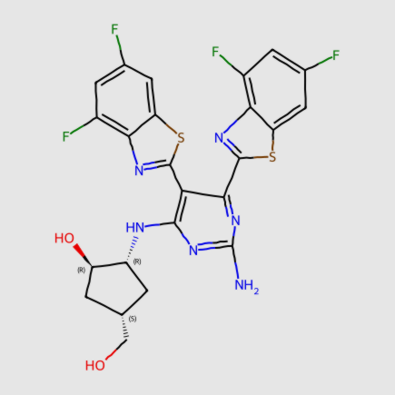 Nc1nc(N[C@@H]2C[C@H](CO)C[C@H]2O)c(-c2nc3c(F)cc(F)cc3s2)c(-c2nc3c(F)cc(F)cc3s2)n1